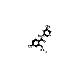 CCc1cc(Cl)ccc1C(=O)Nc1cncc(N)c1